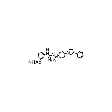 CC(=O)Nc1cccc(Nc2ncnc(N3CCC(N4CC[C@@H](c5ccccc5)C4)CC3)n2)c1